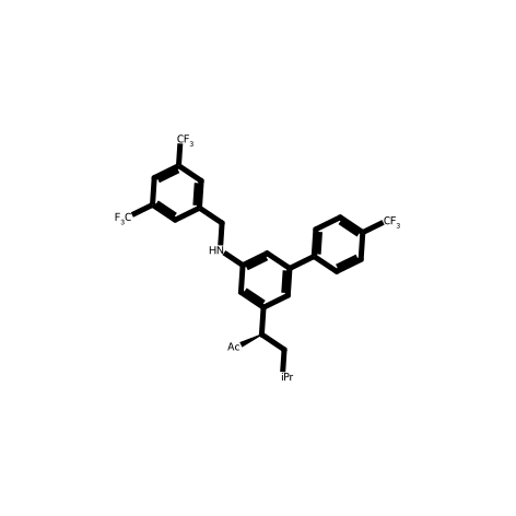 CC(=O)[C@H](CC(C)C)c1cc(NCc2cc(C(F)(F)F)cc(C(F)(F)F)c2)cc(-c2ccc(C(F)(F)F)cc2)c1